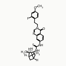 COc1ccc(CCn2cnc3cc(NC(=S)N[C@H]4C[C@@H]5C[C@@H]([C@H]4C)C5(C)C)ccc3c2=O)c(F)c1